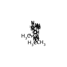 CCCCc1nc(C(C)C)nn1Cc1ccc(-n2ccc(C#N)c2-c2nnn[nH]2)cc1